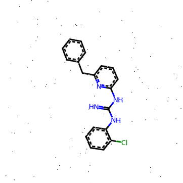 N=C(Nc1cccc(Cc2ccccc2)n1)Nc1ccccc1Cl